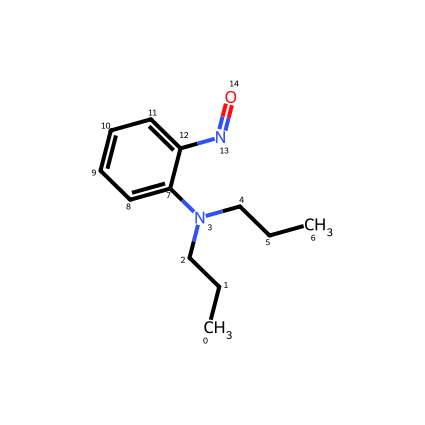 CCCN(CCC)c1ccccc1N=O